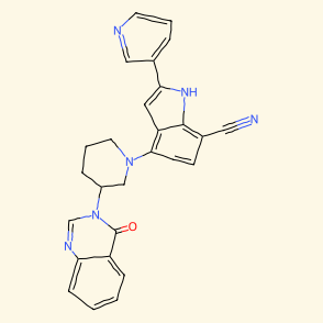 N#Cc1ccc(N2CCCC(n3cnc4ccccc4c3=O)C2)c2cc(-c3cccnc3)[nH]c12